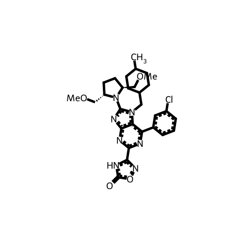 COC[C@@H]1CC[C@@H](COC)N1c1nc2nc(-c3noc(=O)[nH]3)nc(-c3cccc(Cl)c3)c2n1CC1CCC(C)CC1